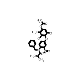 CC(=O)Oc1cc(Cl)c(Oc2ccc(N(Cc3ccccc3)C(=O)C(C)C)c([N+](=O)[O-])c2)c(Cl)c1C